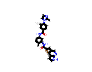 Cc1ccc(NC(=O)c2ccc(-n3ccnc3C)c(C(F)(F)F)c2)cc1NC(=O)c1cc2cnc3[nH]ccc3c2s1